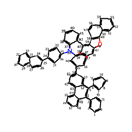 c1ccc(-c2c(-c3ccccc3)c3cc(-c4cccc(N(c5ccc(-c6ccc7ccccc7c6)cc5)c5ccccc5-c5cccc6oc7c8ccccc8ccc7c56)c4)ccc3c3ccccc23)cc1